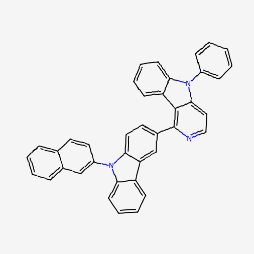 c1ccc(-n2c3ccccc3c3c(-c4ccc5c(c4)c4ccccc4n5-c4ccc5ccccc5c4)nccc32)cc1